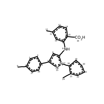 Cc1ccc(-c2cc(Nc3cc(C)ccc3C(=O)O)n(-c3ccccc3C)n2)cc1